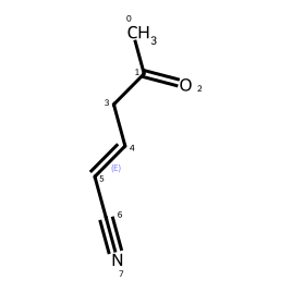 CC(=O)C/C=C/C#N